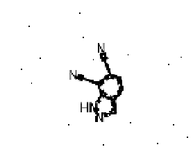 N#Cc1ccc2cn[nH]c2c1C#N